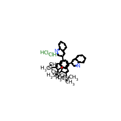 C[Si](C)(C)C1=Cc2c(-c3cnc4ccccc4c3)cccc2[CH]1[Zr]([CH3])([CH3])(=[SiH2])[CH]1C([Si](C)(C)C)=Cc2c(-c3cnc4ccccc4c3)cccc21.Cl.Cl